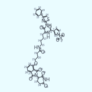 CS(=O)(=O)n1ccc(C(=O)N[C@@H](CCCCNC(=O)CCCOc2cccc3c2C(=O)N(C2CCC(=O)NC2=O)C3=O)C(=O)Nc2nc(-c3ccccc3)cs2)c1